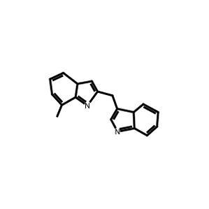 CC1=CC=CC2C=C(CC3=CN=C4C=CC=CC34)N=C12